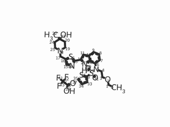 CCOCCN(c1cccc2cc(-c3ncc(CN4CCC(C)(O)CC4)s3)[nH]c12)S(=O)(=O)c1cccs1.O=C(O)C(F)(F)F